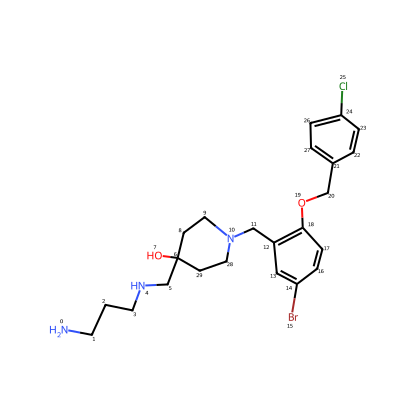 NCCCNCC1(O)CCN(Cc2cc(Br)ccc2OCc2ccc(Cl)cc2)CC1